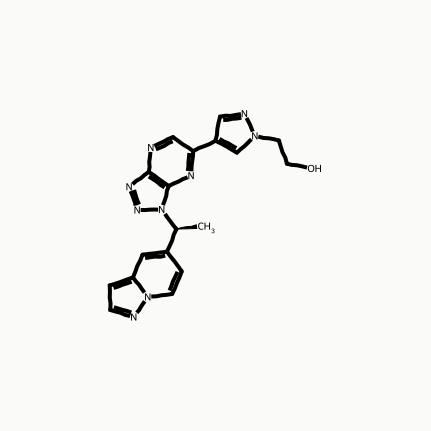 C[C@@H](c1ccn2nccc2c1)n1nnc2ncc(-c3cnn(CCO)c3)nc21